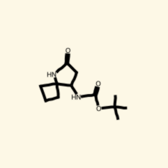 CC(C)(C)OC(=O)NC1CC(=O)NC12CCC2